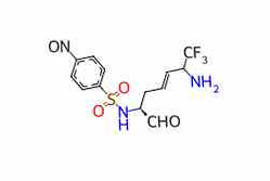 NC(/C=C/C[C@@H](C=O)NS(=O)(=O)c1ccc(N=O)cc1)C(F)(F)F